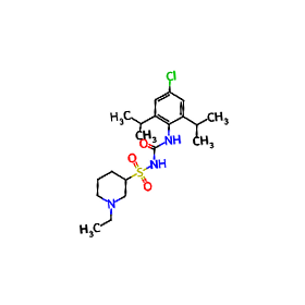 CCN1CCCC(S(=O)(=O)NC(=O)Nc2c(C(C)C)cc(Cl)cc2C(C)C)C1